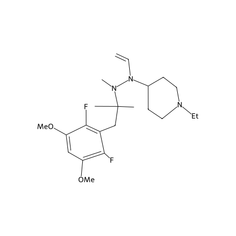 C=CN(C1CCN(CC)CC1)N(C)C(C)(C)Cc1c(F)c(OC)cc(OC)c1F